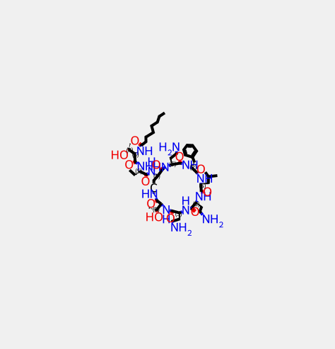 CCCCCCCC(=O)N[C@H](C(=O)N[C@@H](CC)C(=O)N[C@H]1CCNC(=O)C([C@@H](C)O)NC(=O)[C@H](CCN)NC(=O)[C@H](CCN)NC(=O)[C@H](CC(C)C)NC(=O)[C@@H](Cc2ccccc2)NC(=O)[C@H](CCN)NC1=O)[C@@H](C)O